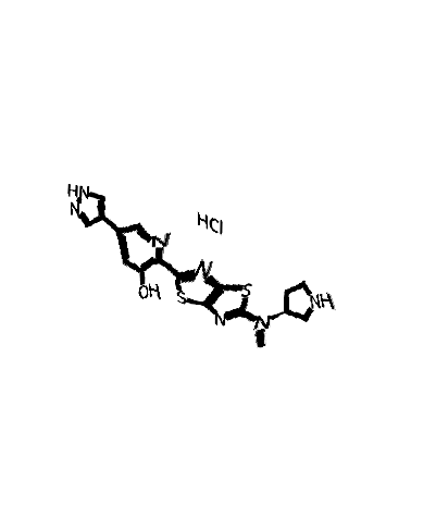 CN(c1nc2sc(-c3ncc(-c4cn[nH]c4)cc3O)nc2s1)[C@H]1CCNC1.Cl